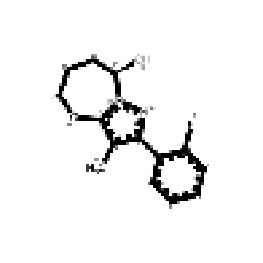 Cc1c(-c2ccccc2F)nn2c1OCCC[C@H]2C